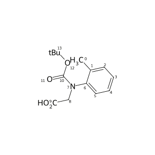 Cc1ccccc1N(CC(=O)O)C(=O)OC(C)(C)C